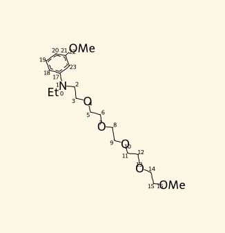 CCN(CCOCCOCCOCCOCCOC)c1cccc(OC)c1